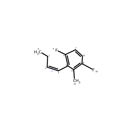 CC/C=C\c1c(F)ccc(F)c1C